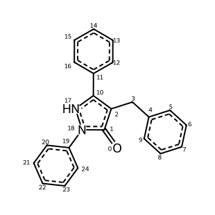 O=c1c(Cc2ccccc2)c(-c2ccccc2)[nH]n1-c1ccccc1